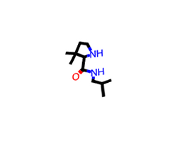 CC(C)CNC(=O)C1NCCC1(C)C